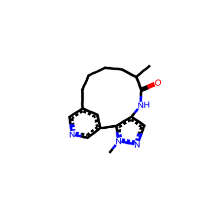 CC1CCCCc2cncc(c2)-c2c(cnn2C)NC1=O